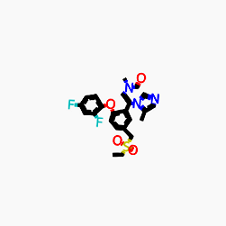 CCS(=O)(=O)Cc1ccc(Oc2ccc(F)cc2F)c(/C(=C/N(C)C=O)n2cncc2C)c1